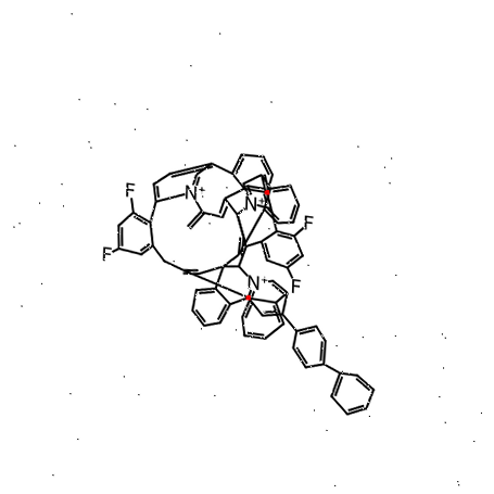 C=C1/C=C2/c3ccccc3-c3ccc([n+]1c3)-c1c(F)cc(F)cc1C/C1=C\C34C5=CC26C(c2cc(F)cc(F)c2-c2ccc(c[n+]26)-c2ccccc25)C3[n+]2cc(c(-c3ccc(-c5ccccc5)cc3)cc2-c2ccccc24)-c2ccccc21